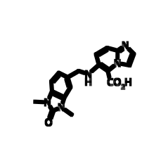 Cn1c(=O)n(C)c2cc(CNc3ccc4nccn4c3C(=O)O)ccc21